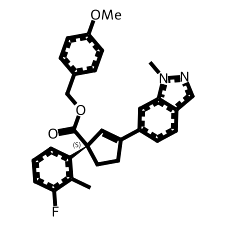 COc1ccc(COC(=O)[C@]2(c3cccc(F)c3C)C=C(c3ccc4cnn(C)c4c3)CC2)cc1